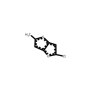 Cc1cc2oc(Cl)cc2s1